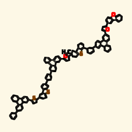 CC1(c2ccc(-c3ccc4c5ccccc5c5cc(-c6ccc(-c7ccc8c(c7)sc7ccc(-c9ccc(-c%10ccc%11c%12ccccc%12c%12cc(-c%13ccccc%13)ccc%12c%11c%10)s9)cc78)cc6)ccc5c4c3)o2)C=Cc2sc3c(-c4cccc(-c5ccc6c(c5)c5ccccc5c5ccc(-c7ccc(-c8ccc9oc%10ccccc%10c9c8)o7)cc56)c4)cccc3c2C1